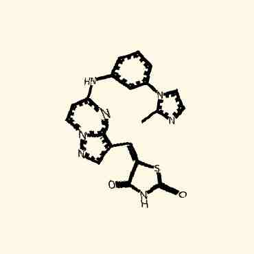 Cc1nccn1-c1cccc(Nc2ccn3ncc(C=C4SC(=O)NC4=O)c3n2)c1